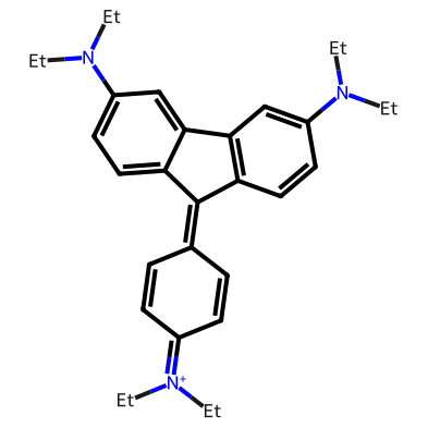 CCN(CC)c1ccc2c(c1)-c1cc(N(CC)CC)ccc1C2=C1C=CC(=[N+](CC)CC)C=C1